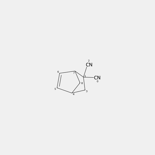 N#CC1(C#N)CC2C=CC1C2